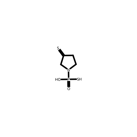 O=P(O)(S)N1CCC(=S)C1